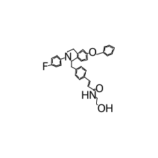 O=C(C=Cc1ccc(CC2c3ccc(OCc4ccccc4)cc3CCN2c2ccc(F)cc2)cc1)NCCO